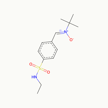 CCNS(=O)(=O)c1ccc(/C=[N+](\[O-])C(C)(C)C)cc1